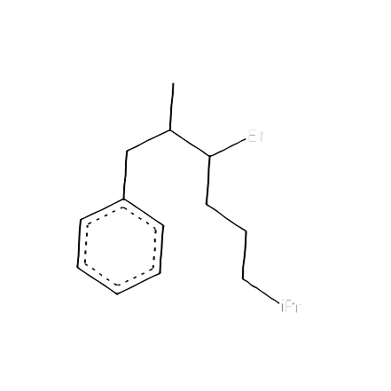 CCC(CCCC(C)C)C(C)Cc1ccccc1